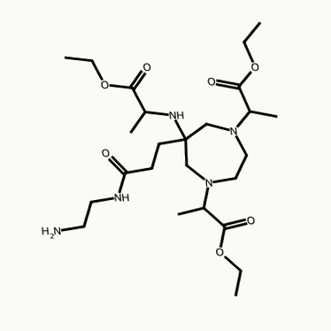 CCOC(=O)C(C)NC1(CCC(=O)NCCN)CN(C(C)C(=O)OCC)CCN(C(C)C(=O)OCC)C1